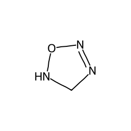 C1N=NON1